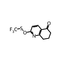 O=C1CCCc2nc(OSC(F)(F)F)ccc21